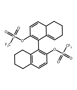 O=S(=O)(OC1=C(c2c(OS(=O)(=O)C(F)(F)F)ccc3c2CCCC3)C2=CCCCC2C=C1)C(F)(F)F